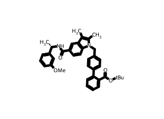 COc1cccc([C@H](C)NC(=O)c2ccc3c(c2)c(C)c(C)n3Cc2ccc(-c3ccccc3C(=O)OC(C)(C)C)cc2)c1